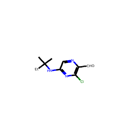 CCC(C)(C)Nc1cnc(C=O)c(Cl)n1